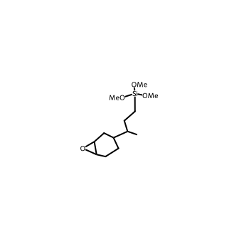 CO[Si](CCC(C)C1CCC2OC2C1)(OC)OC